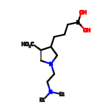 CCN(CC)CCN1CC(CCCB(O)O)C(C(=O)O)C1